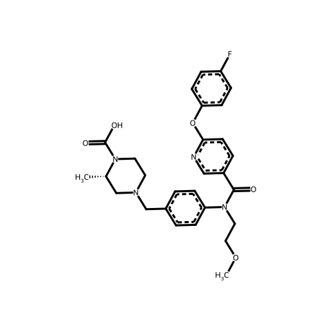 COCCN(C(=O)c1ccc(Oc2ccc(F)cc2)nc1)c1ccc(CN2CCN(C(=O)O)[C@@H](C)C2)cc1